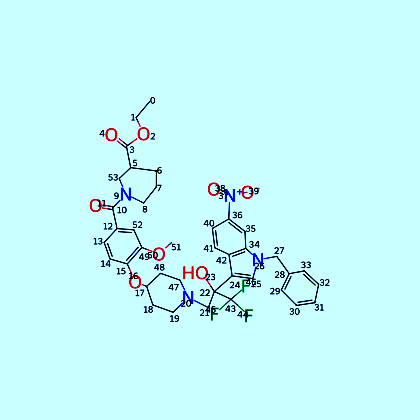 CCOC(=O)C1CCCN(C(=O)c2ccc(OC3CCN(CC(O)(c4cn(Cc5ccccc5)c5cc([N+](=O)[O-])ccc45)C(F)(F)F)CC3)c(OC)c2)C1